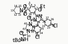 CCOc1cc(C)c(S(=O)(=O)N2CCCCC2)cc1C1=N[C@@H](c2ccc(Cl)cc2)[C@@H](c2ccc(Cl)cc2)N1C(=O)N1CCN(CC(=O)NC(C)(C)C)CC1